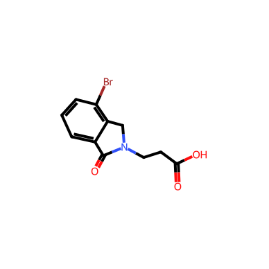 O=C(O)CCN1Cc2c(Br)cccc2C1=O